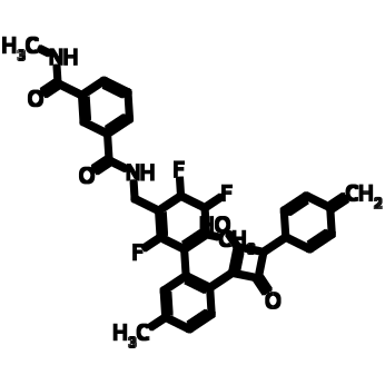 C=C1C=CC(C2C(=O)C(c3ccc(C)cc3C3=C(C)C(F)C(F)C(CNC(=O)c4cccc(C(=O)NC)c4)=C3F)=C2O)C=C1